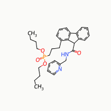 CCCCOP(=O)(CCCc1cccc2c1C(C(=O)NCc1ccccn1)c1ccccc1-2)OCCCC